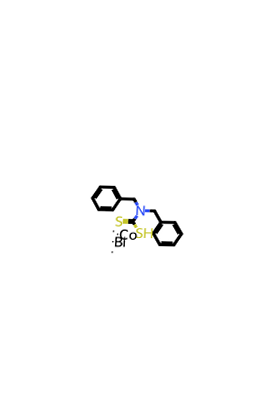 S=C(S)N(Cc1ccccc1)Cc1ccccc1.[Bi].[Co]